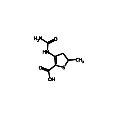 CC1CC(NC(N)=O)=C(C(=O)O)S1